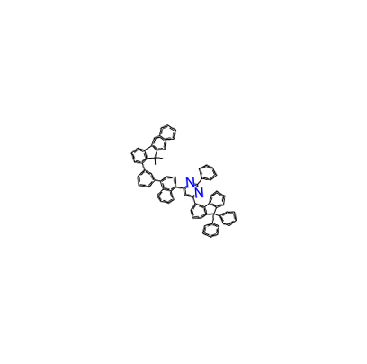 CC1(C)c2cc3ccccc3cc2-c2cccc(-c3cccc(-c4ccc(-c5cc(-c6cccc7c6-c6ccccc6C7(c6ccccc6)c6ccccc6)nc(-c6ccccc6)n5)c5ccccc45)c3)c21